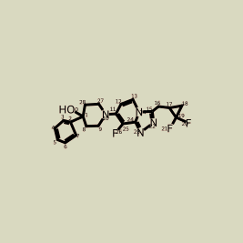 OC1(c2ccccc2)CCN(c2ccn3c(CC4CC4(F)F)nnc3c2F)CC1